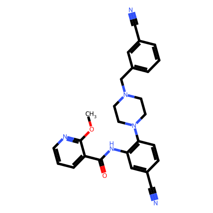 COc1ncccc1C(=O)Nc1cc(C#N)ccc1N1CCN(Cc2cccc(C#N)c2)CC1